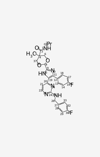 CC(C)NC(=O)C1(C)COC(c2nc(-c3ccc(F)cc3)c(-c3ccnc(NCc4ccc(F)cc4)n3)[nH]2)OC1